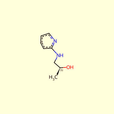 C[C@H](O)CNc1ccccn1